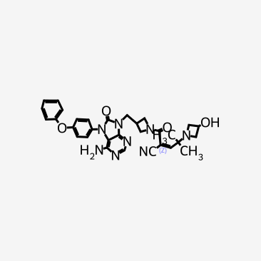 CC(C)(/C=C(/C#N)C(=O)N1CC(Cn2c(=O)n(-c3ccc(Oc4ccccc4)cc3)c3c(N)ncnc32)C1)N1CC(O)C1